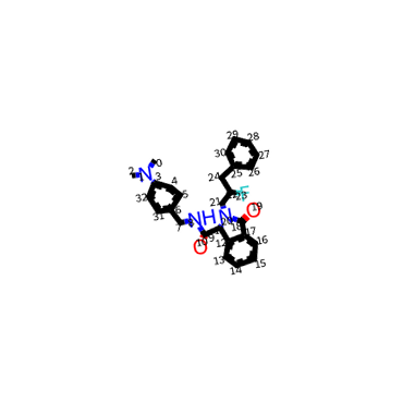 CN(C)c1ccc(CNC(=O)C2c3ccccc3C(=O)N2CC(F)Cc2ccccc2)cc1